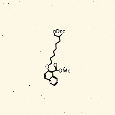 CCCCCCCCCCCC(C)CCCCCCCOc1ccc2ccccc2c1C(=O)OC